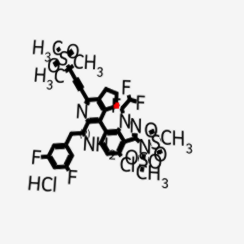 CC(C)(C#Cc1nc([C@H](N)Cc2cc(F)cc(F)c2)c(-c2ccc(Cl)c3c(N(S(C)(=O)=O)S(C)(=O)=O)nn(C(F)C(F)F)c23)c2c1CCC2)S(C)(=O)=O.Cl